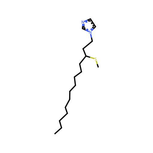 CCCCCCCCCCCC(CCn1ccnc1)SC